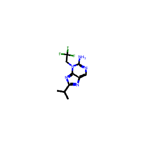 CC(C)c1nc2cnc(N)n(CC(F)(F)F)c-2n1